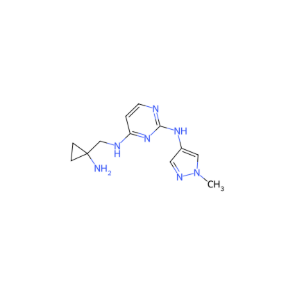 Cn1cc(Nc2nccc(NCC3(N)CC3)n2)cn1